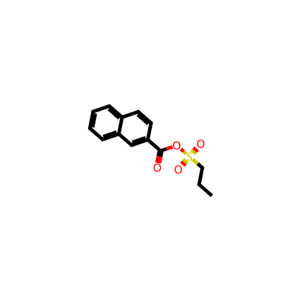 CCCS(=O)(=O)OC(=O)c1ccc2ccccc2c1